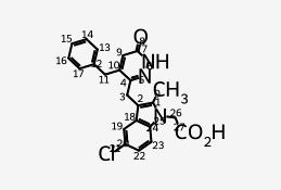 Cc1c(Cc2n[nH]c(=O)cc2Cc2ccccc2)c2cc(Cl)ccc2n1CC(=O)O